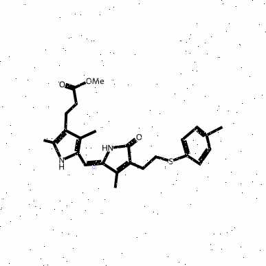 COC(=O)CCc1c(C)[nH]c(/C=C2\NC(=O)C(CCSc3ccc(C)cc3)=C2C)c1C